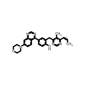 C/C=C\c1ncnc(Cc2cc(-c3ncnc4cc(N5CCOCC5)ccc34)ccc2O)c1C